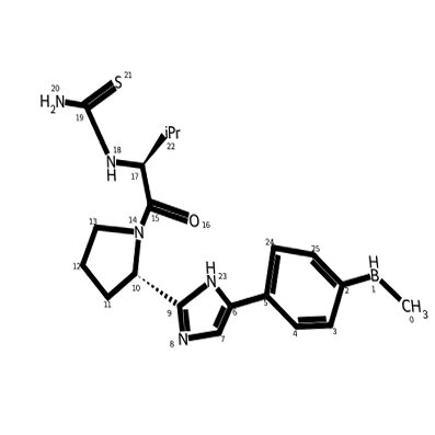 CBc1ccc(-c2cnc([C@@H]3CCCN3C(=O)[C@@H](NC(N)=S)C(C)C)[nH]2)cc1